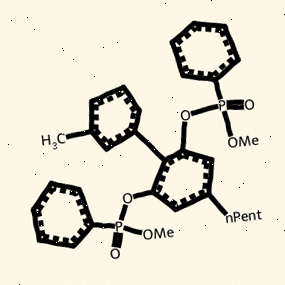 CCCCCc1cc(OP(=O)(OC)c2ccccc2)c(-c2cccc(C)c2)c(OP(=O)(OC)c2ccccc2)c1